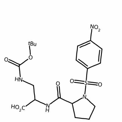 CC(C)(C)OC(=O)NCC(NC(=O)C1CCCN1S(=O)(=O)c1ccc([N+](=O)[O-])cc1)C(=O)O